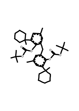 Cc1cc(Cc2cc(C)cc(C3(C)CCCCC3)c2OC(=O)OC(C)(C)C)c(OC(=O)OC(C)(C)C)c(C2(C)CCCCC2)c1